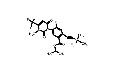 CC(C)OC(=O)c1cc(-n2c(=O)cc(C(F)(F)F)n(C)c2=O)c(F)cc1C#C[Si](C)(C)C